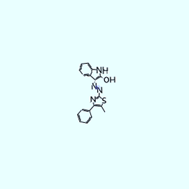 Cc1sc(/N=N/c2c(O)[nH]c3ccccc23)nc1-c1ccccc1